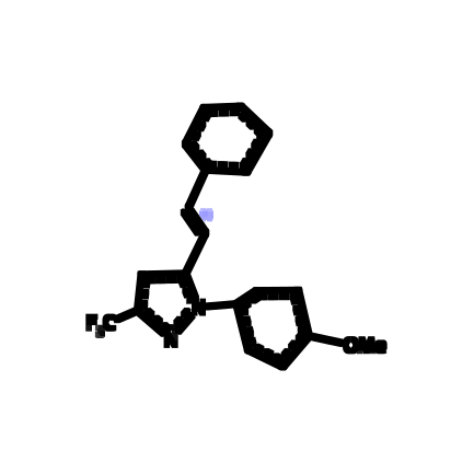 COc1ccc(-n2nc(C(F)(F)F)cc2/C=C/c2ccccc2)cc1